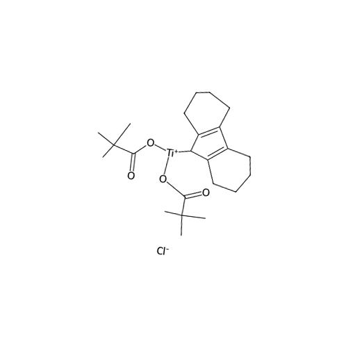 CC(C)(C)C(=O)[O][Ti+]([O]C(=O)C(C)(C)C)[CH]1C2=C(CCCC2)C2=C1CCCC2.[Cl-]